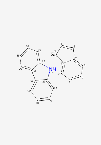 c1ccc2[se]ccc2c1.c1ccc2c(c1)[nH]c1ccccc12